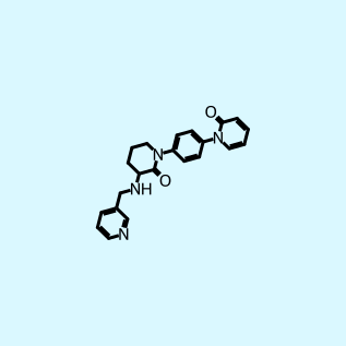 O=C1C(NCc2cccnc2)CCCN1c1ccc(-n2ccccc2=O)cc1